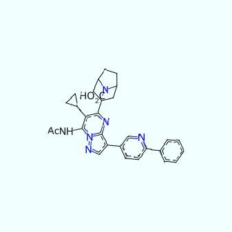 CC(=O)Nc1c(C2CC2)c(C2CC3CCC(C2)N3C(=O)O)nc2c(-c3ccc(-c4ccccc4)nc3)cnn12